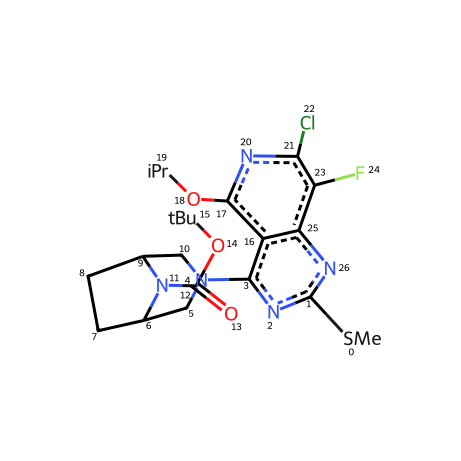 CSc1nc(N2CC3CCC(C2)N3C(=O)OC(C)(C)C)c2c(OC(C)C)nc(Cl)c(F)c2n1